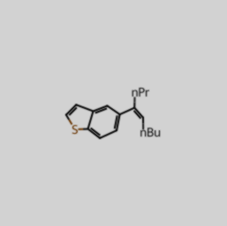 CCCC/C=C(/CCC)c1ccc2sccc2c1